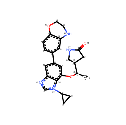 C[C@@H](Oc1cc(-c2ccc3c(c2)NCCO3)cc2ncn(C3CC3)c12)[C@H]1CNC(=O)C1